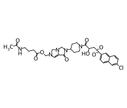 CC(=O)NCCCC(=O)OCN1C=C2C(=O)N(C3CCN(C(=O)[C@H](O)CS(=O)(=O)c4ccc5cc(Cl)ccc5c4)CC3)CN2C1